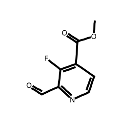 COC(=O)c1ccnc(C=O)c1F